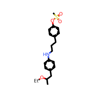 CCOC(C)Cc1ccc(NCCCc2ccc(OS(C)(=O)=O)cc2)cc1